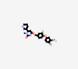 Cn1c(-c2cccnc2)cc(OCc2ccc(Oc3ccc(Cl)c(C(F)(F)F)c3)c(F)c2)nc1=O